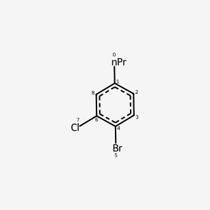 CCCc1ccc(Br)c(Cl)c1